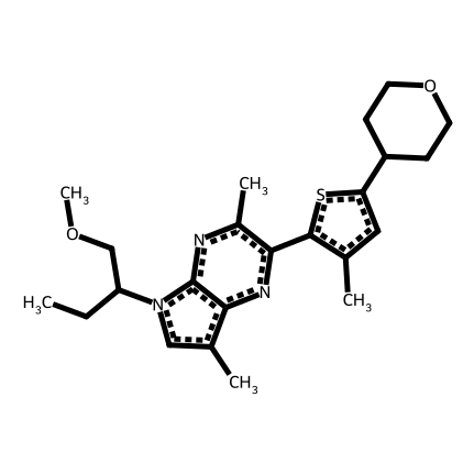 CCC(COC)n1cc(C)c2nc(-c3sc(C4CCOCC4)cc3C)c(C)nc21